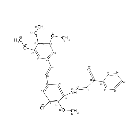 COc1cc(C=Cc2cc(Cl)c(OC)c(NC=CC(=O)c3ccccc3)c2)cc(OC)c1OC